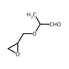 [CH2]C(C=O)OCC1CO1